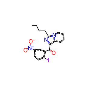 CCCCc1nc(C(=O)c2cc([N+](=O)[O-])ccc2I)c2ccccn12